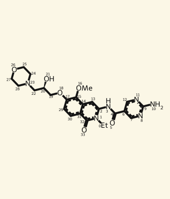 CCn1c(NC(=O)c2cnc(N)nc2)cc2c(OC)c(OC[C@H](O)CN3CCOCC3)ccc2c1=O